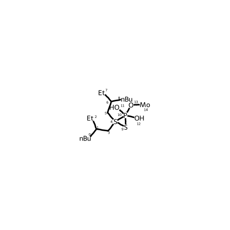 CCCCC(CC)CS1(CC(CC)CCCC)SP1(O)(O)[O][Mo]